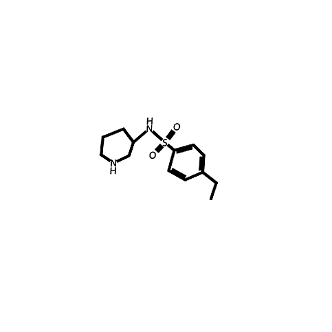 CCc1ccc(S(=O)(=O)NC2CCCNC2)cc1